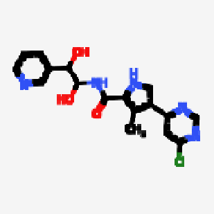 Cc1c(-c2cc(Cl)ncn2)c[nH]c1C(=O)NC(O)C(O)c1cccnc1